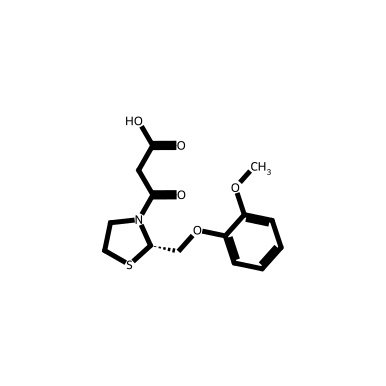 COc1ccccc1OC[C@@H]1SCCN1C(=O)CC(=O)O